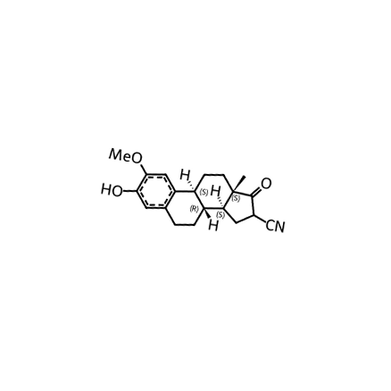 COc1cc2c(cc1O)CC[C@@H]1[C@@H]2CC[C@]2(C)C(=O)C(C#N)C[C@@H]12